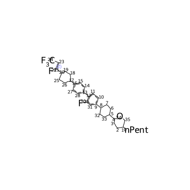 CCCCCC1CCC(C2CCC(c3ccc(-c4ccc(C5CCC(/C(F)=C/C(F)(F)F)CC5)cc4)c(F)c3)CC2)OC1